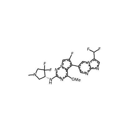 COc1nc(N[C@@H]2CN(C)CC2(F)F)nn2cc(F)c(-c3cnc4ncc(C(F)F)n4c3)c12